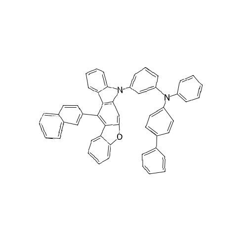 c1ccc(-c2ccc(N(c3ccccc3)c3cccc(-n4c5ccccc5c5c(-c6ccc7ccccc7c6)c6c(cc54)oc4ccccc46)c3)cc2)cc1